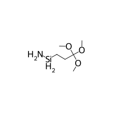 COC(CC[SiH2]N)(OC)OC